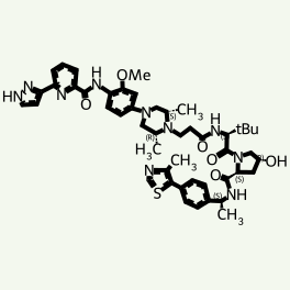 COc1cc(N2C[C@@H](C)N(CCC(=O)N[C@H](C(=O)N3C[C@H](O)C[C@H]3C(=O)N[C@@H](C)c3ccc(-c4scnc4C)cc3)C(C)(C)C)[C@@H](C)C2)ccc1NC(=O)c1cccc(-c2cc[nH]n2)n1